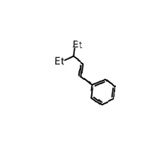 CCC(C=Cc1ccccc1)CC